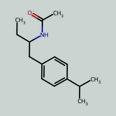 CCC(Cc1ccc(C(C)C)cc1)NC(C)=O